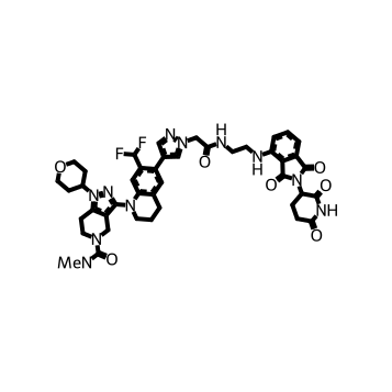 CNC(=O)N1CCc2c(c(N3CCCc4cc(-c5cnn(CC(=O)NCCNc6cccc7c6C(=O)N(C6CCC(=O)NC6=O)C7=O)c5)c(C(F)F)cc43)nn2C2CCOCC2)C1